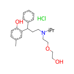 Cc1ccc(O)c(C(CCN(CCOCCO)C(C)C)c2ccccc2)c1.Cl